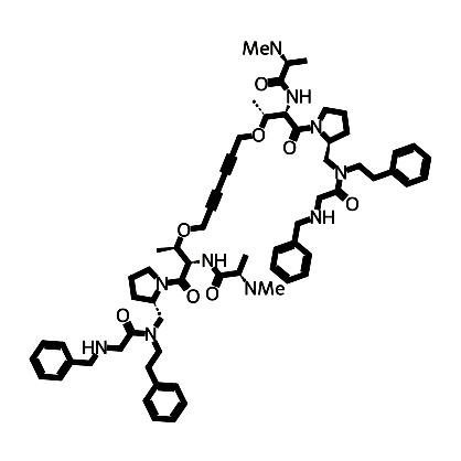 CN[C@@H](C)C(=O)N[C@H](C(=O)N1CCC[C@H]1CN(CCc1ccccc1)C(=O)CNCc1ccccc1)[C@@H](C)OCC#CC#CCO[C@H](C)[C@H](NC(=O)[C@H](C)NC)C(=O)N1CCC[C@H]1CN(CCc1ccccc1)C(=O)CNCc1ccccc1